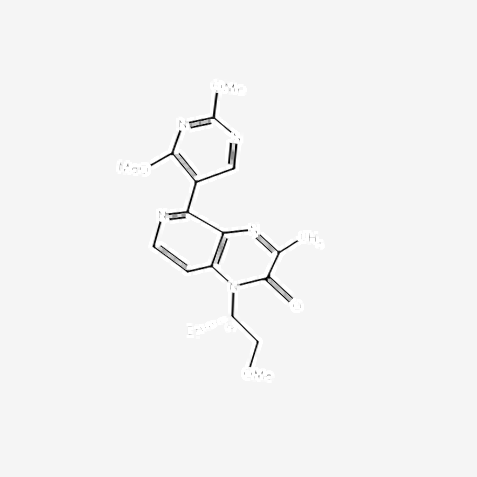 CC[C@@H](COC)n1c(=O)c(C)nc2c(-c3cnc(OC)nc3OC)nccc21